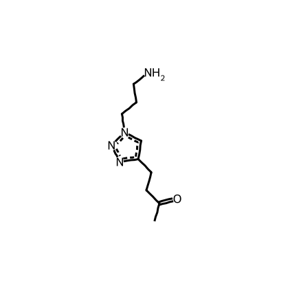 CC(=O)CCc1cn(CCCN)nn1